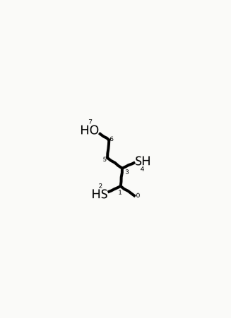 CC(S)C(S)CCO